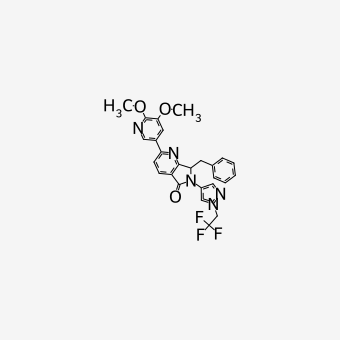 COc1cc(-c2ccc3c(n2)C(Cc2ccccc2)N(c2cnn(CC(F)(F)F)c2)C3=O)cnc1OC